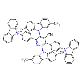 N#Cc1c(-c2ccc(-n3c4ccccc4c4ccccc43)cc2)c(-n2c3cc(C(F)(F)F)ccc3c3ccc(C(F)(F)F)cc32)nc(-c2ccc(-n3c4ccccc4c4ccccc43)cc2)c1-n1c2cc(C(F)(F)F)ccc2c2ccc(C(F)(F)F)cc21